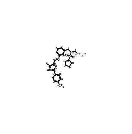 CCOC(=O)CN(Cc1cccc(OCc2oc(-c3ccc(C(F)(F)F)cc3)nc2C)c1)S(=O)(=O)N1CCCC1